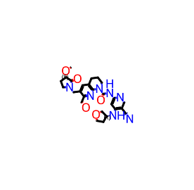 CO[C@H]1CCN(Cc2cc3c(nc2C=O)N(C(=O)Nc2cc(N[C@@H]4CCOC4)c(C#N)cn2)CCC3)C1=O